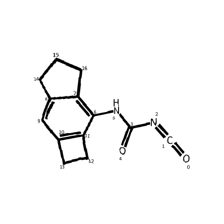 O=C=NC(=O)Nc1c2c(cc3c1CC3)CCC2